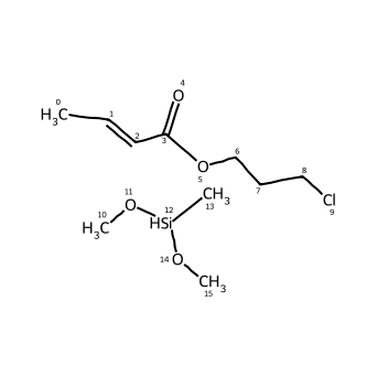 CC=CC(=O)OCCCCl.CO[SiH](C)OC